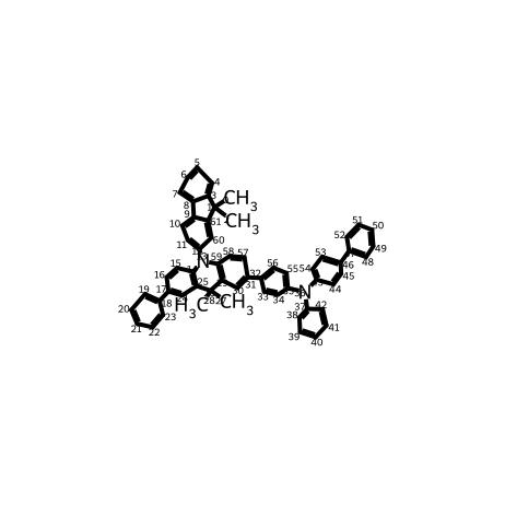 CC1(C)c2ccccc2-c2ccc(N3c4ccc(-c5ccccc5)cc4C(C)(C)c4cc(-c5ccc(N(c6ccccc6)c6ccc(-c7ccccc7)cc6)cc5)ccc43)cc21